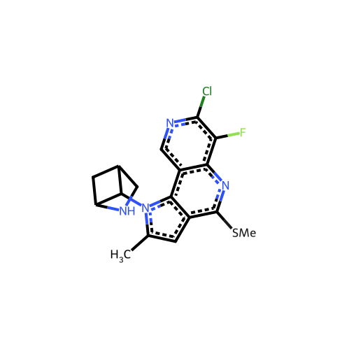 CSc1nc2c(F)c(Cl)ncc2c2c1cc(C)n2C1C2CNC1C2